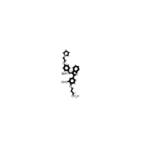 O=Cc1cc(-c2sc3ccccc3c2Cc2ccc(OCCN3CCCC3)cc2)ccc1OCCCC(=O)O.[NaH]